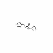 O=C(N[C@@H]1C=CSC1)OCc1ccccc1